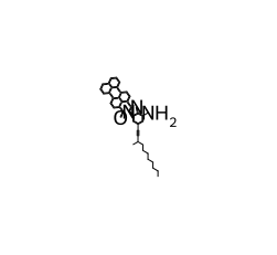 CCCCCCCCC(C)C#Cc1cc(N)c2nc3c4ccc5c6cccc7cccc(c8ccc(c(=O)n3c2c1)c4c85)c76